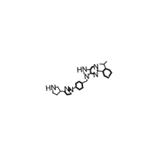 CC(C)c1ccccc1-c1ncc2c(n1)N(Cc1ccc(-n3ccc(C4CCNC4)n3)cc1)CN2